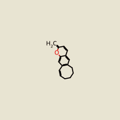 C=C1C=Cc2cc3c(cc2O1)/C=C\CCCC3